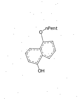 CCCCCOc1cccc2c(O)cccc12